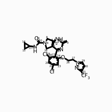 C=C(N)/N=C(\C1=C(N)CN(C(=O)NC2CC2)C1)c1c(Cl)cc(Cl)cc1OCCn1ccc(C(F)(F)F)n1